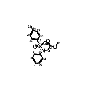 COC(=O)CN(c1ccccc1)S(=O)(=O)c1ccc(C)cc1